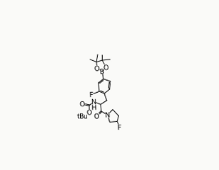 CC(C)(C)OC(=O)NC(Cc1ccc(B2OC(C)(C)C(C)(C)O2)cc1F)C(=O)N1CCC(F)C1